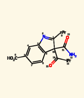 CCCC1=Nc2cc(C(=O)O)ccc2C1(C(N)=O)C(=O)C(C)C